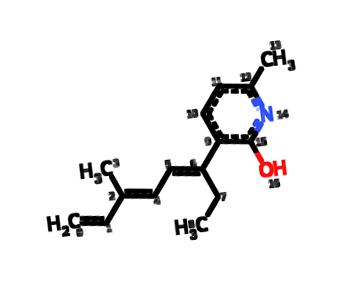 C=C/C(C)=C/C=C(\CC)c1ccc(C)nc1O